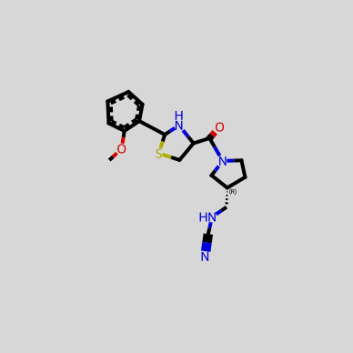 COc1ccccc1C1NC(C(=O)N2CC[C@H](CNC#N)C2)CS1